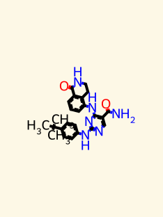 CC(C)(C)c1ccc(Nc2ncc(C(N)=O)c(Nc3cccc4c3CCNC4=O)n2)cc1